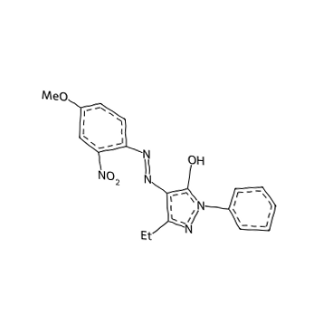 CCc1nn(-c2ccccc2)c(O)c1N=Nc1ccc(OC)cc1[N+](=O)[O-]